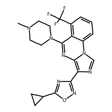 CN1CCN(c2nc3c(-c4noc(C5CC5)n4)ncn3c3cccc(C(F)(F)F)c23)CC1